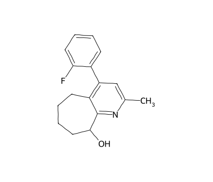 Cc1cc(-c2ccccc2F)c2c(n1)C(O)CCCC2